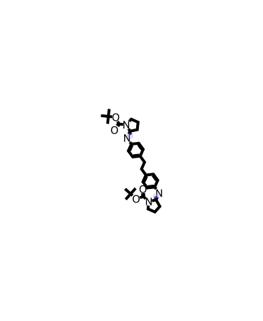 CC(C)(C)OC(=O)N1CCC/C1=N/c1ccc(CCc2ccc(/N=C3\CCCN3C(=O)OC(C)(C)C)cc2)cc1